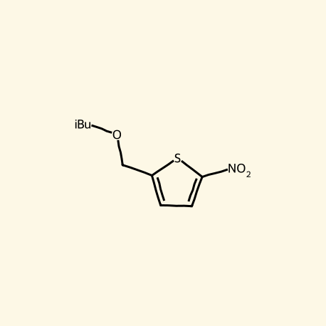 CCC(C)OCc1ccc([N+](=O)[O-])s1